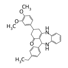 CCc1ccc(C2Nc3ccccc3NC3=C2C(=O)CC(c2ccc(OC)c(OC)c2)C3)cc1